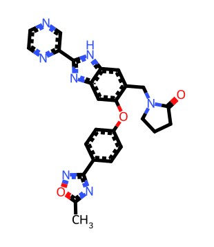 Cc1nc(-c2ccc(Oc3cc4nc(-c5cnccn5)[nH]c4cc3CN3CCCC3=O)cc2)no1